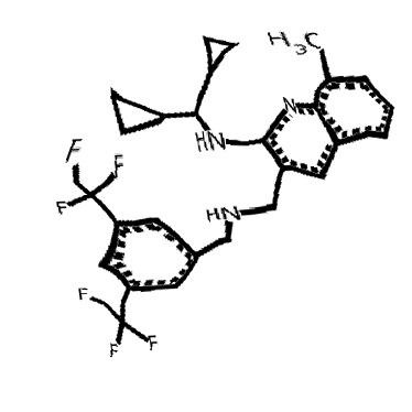 Cc1cccc2cc(CNCc3cc(C(F)(F)F)cc(C(F)(F)F)c3)c(NC(C3CC3)C3CC3)nc12